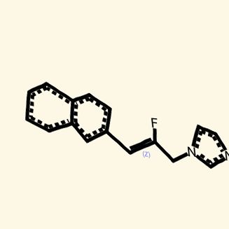 F/C(=C\c1ccc2ccccc2c1)Cn1ccnc1